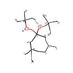 CC1CC(C)(C)CC(OC(C)(C)C)(OC(C)(C)C)C1